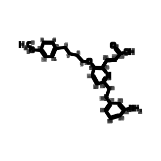 COc1ccc(CCCCOc2ccc(CSc3cccc(N)c3)nc2C=CC(=O)O)cc1